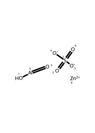 O=S(=O)([O-])[O-].[O]=[Al][OH].[Zn+2]